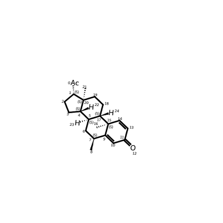 CC(=O)[C@H]1CC[C@H]2[C@@H]3C[C@H](C)C4=CC(=O)C=C[C@]4(C)[C@H]3CC[C@]12C